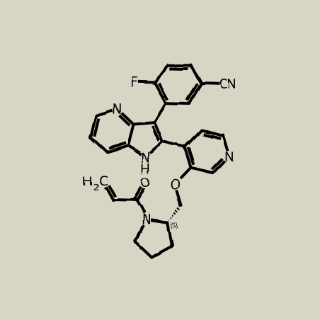 C=CC(=O)N1CCC[C@H]1COc1cnccc1-c1[nH]c2cccnc2c1-c1cc(C#N)ccc1F